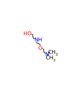 CN(C)CCOCCNCCO